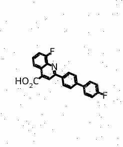 O=C(O)c1cc(-c2ccc(-c3ccc(F)cc3)cc2)nc2c(F)cccc12